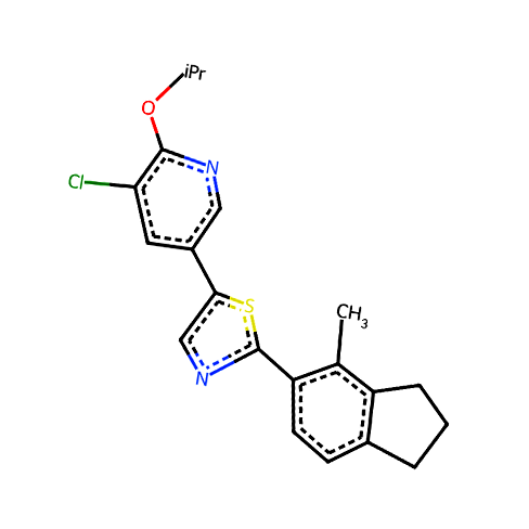 Cc1c(-c2ncc(-c3cnc(OC(C)C)c(Cl)c3)s2)ccc2c1CCC2